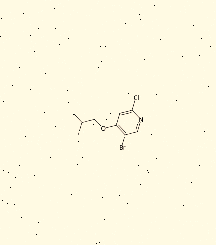 CC(C)COc1cc(Cl)ncc1Br